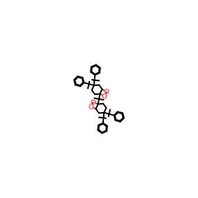 CC(C)(c1ccccc1)C1(C(C)(C)c2ccccc2)CCC2(C(C)(C)C34CCC(C(C)(C)c5ccccc5)(C(C)(C)c5ccccc5)CC3OO4)OOC2C1